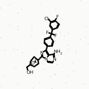 Nc1nccn2c(C34CCC(CO)(CC3)OC4)nc(-c3ccc(C(F)(F)c4ccc(F)c(Cl)c4)cc3)c12